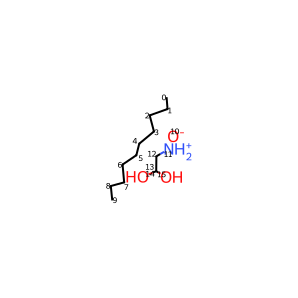 CCCCCCCCCC.[O-][NH2+]CC(O)O